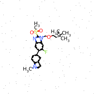 Cn1ccc2cc(-c3cc4nc(S(C)(=O)=O)n(COCC[Si](C)(C)C)c4cc3F)ccc21